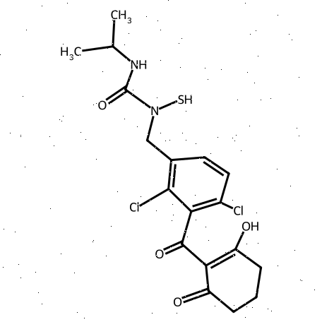 CC(C)NC(=O)N(S)Cc1ccc(Cl)c(C(=O)C2=C(O)CCCC2=O)c1Cl